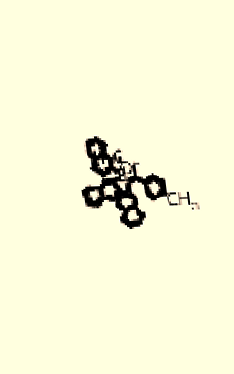 Cc1ccc(C2=C(c3ccc4ccccc4c3)[B-](c3ccc4ccccc4c3)(c3ccc4ccccc4c3)[O+](C)C2)cc1